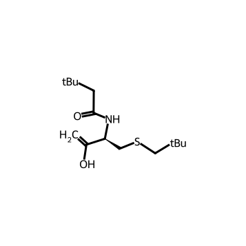 C=C(O)[C@H](CSCC(C)(C)C)NC(=O)CC(C)(C)C